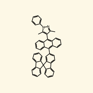 Cc1nn(-c2ccccc2)c(C)c1-c1c2ccccc2c(-c2ccc3c(c2)C2(c4ccccc4-c4ccccc42)c2ccccc2-3)c2ccccc12